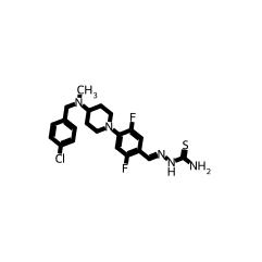 CN(Cc1ccc(Cl)cc1)C1CCN(c2cc(F)c(/C=N/NC(N)=S)cc2F)CC1